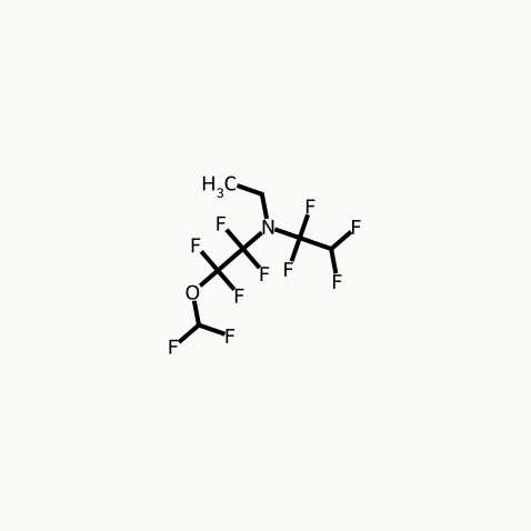 CCN(C(F)(F)C(F)F)C(F)(F)C(F)(F)OC(F)F